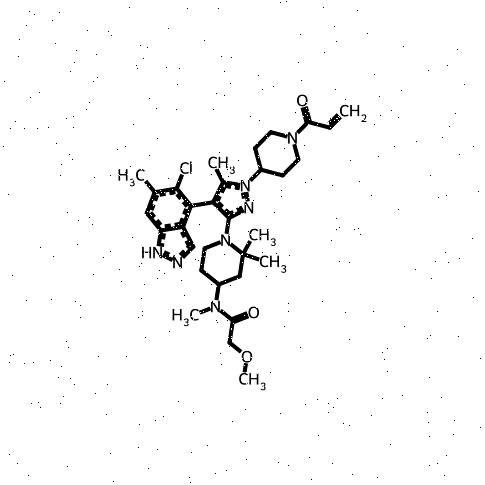 C=CC(=O)N1CCC(n2nc(N3CCC(N(C)C(=O)COC)CC3(C)C)c(-c3c(Cl)c(C)cc4[nH]ncc34)c2C)CC1